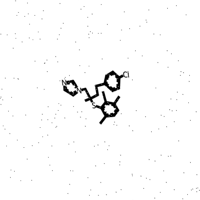 Cc1ccc(C)c(SC(C)(CCc2ccc(Cl)cc2)Cn2ccnc2)c1C